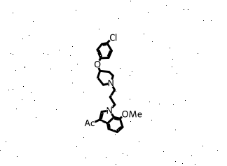 COc1cccc2c(C(C)=O)cn(CCCN3CCC(Oc4ccc(Cl)cc4)CC3)c12